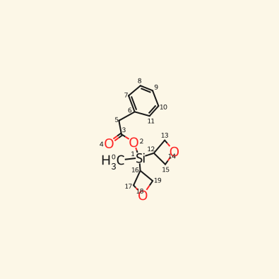 C[Si](OC(=O)Cc1ccccc1)(C1COC1)C1COC1